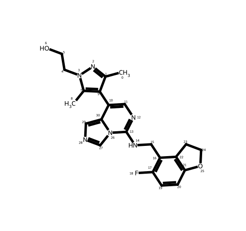 Cc1nn(CCO)c(C)c1-c1cnc(NCc2c(F)ccc3c2CCO3)n2cncc12